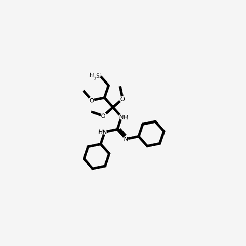 COC(C[SiH3])C(NC(=NC1CCCCC1)NC1CCCCC1)(OC)OC